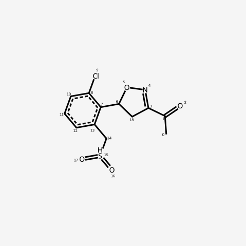 CC(=O)C1=NOC(c2c(Cl)cccc2C[SH](=O)=O)C1